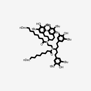 CCCCCCCCCCCCCCCCCC(=O)N(CCN(C(=O)CCCCCCCCCCCCCCCCC)C(CCc1cc(C(C)(C)C)c(O)c(C(C)(C)C)c1)CCc1cc(C(C)(C)C)c(O)c(C(C)(C)C)c1)C(CCc1cc(C(C)(C)C)c(O)c(C(C)(C)C)c1)CCc1cc(C(C)(C)C)c(O)c(C(C)(C)C)c1